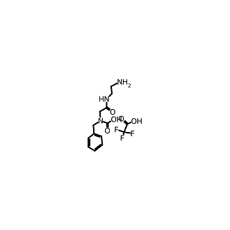 NCCNC(=O)CN(Cc1ccccc1)C(=O)O.O=C(O)C(F)(F)F